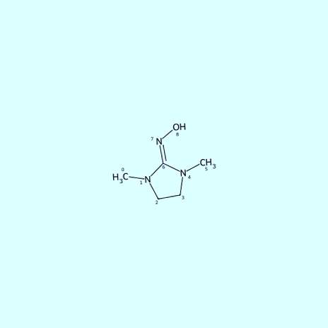 CN1CCN(C)C1=NO